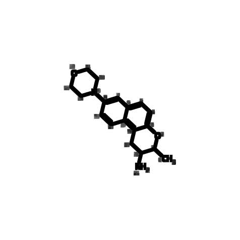 CC1Oc2ccc3cc(N4CCOCC4)ccc3c2CC1N